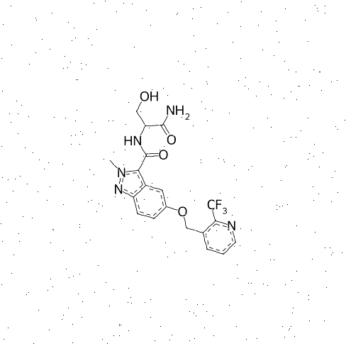 Cn1nc2ccc(OCc3cccnc3C(F)(F)F)cc2c1C(=O)NC(CO)C(N)=O